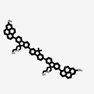 CC(C)(C)c1cc2ccc3ccc(-c4ccc5c(c4)C(CS)(CCCS)c4cc(-c6ccc7c(c6)C(C)(C)c6cc(-c8ccc9c(c8)C(CS)(CCCS)c8cc(-c%10ccc%11ccc%12cc(C(C)(C)C)cc%13ccc%10c%11c%12%13)ccc8-9)ccc6-7)ccc4-5)c4ccc(c1)c2c34